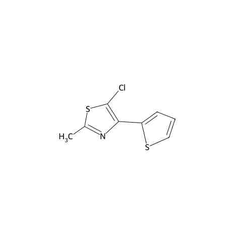 Cc1nc(-c2cccs2)c(Cl)s1